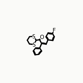 O=C(C(=Cc1ccc(F)cc1)c1ccccc1)C1SCCCS1